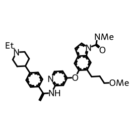 C=C(Nc1cc(Oc2cc3ccn(C(=O)NC)c3cc2CCCOC)ccn1)c1ccc(C2CCN(CC)CC2)cc1